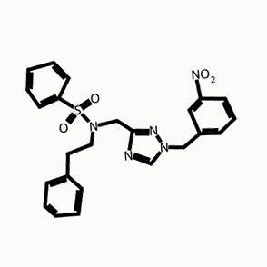 O=[N+]([O-])c1cccc(Cn2cnc(CN(CCc3ccccc3)S(=O)(=O)c3ccccc3)n2)c1